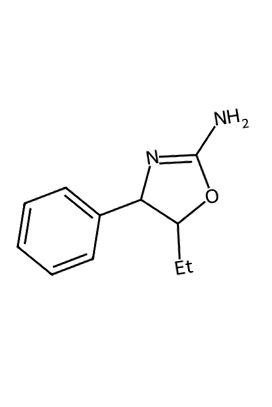 CCC1OC(N)=NC1c1ccccc1